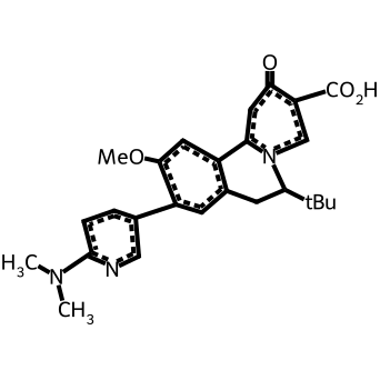 COc1cc2c(cc1-c1ccc(N(C)C)nc1)CC(C(C)(C)C)n1cc(C(=O)O)c(=O)cc1-2